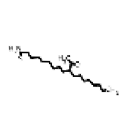 CCCCCCCCC(CCCCCCCCC(N)=S)C(C)=O